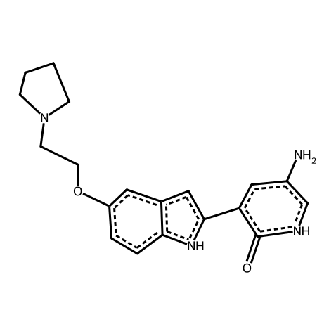 Nc1c[nH]c(=O)c(-c2cc3cc(OCCN4CCCC4)ccc3[nH]2)c1